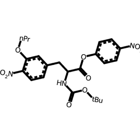 CCCOc1cc(CC(NC(=O)OC(C)(C)C)C(=O)Oc2ccc([N+](=O)[O-])cc2)ccc1[N+](=O)[O-]